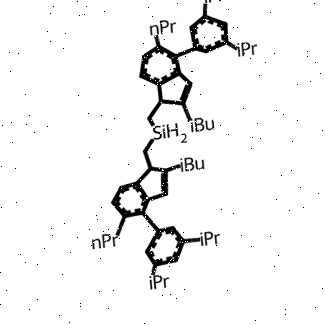 CCCc1ccc2c(c1-c1cc(C(C)C)cc(C(C)C)c1)C=C(C(C)CC)C2C[SiH2]CC1C(C(C)CC)=Cc2c1ccc(CCC)c2-c1cc(C(C)C)cc(C(C)C)c1